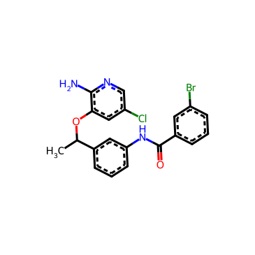 CC(Oc1cc(Cl)cnc1N)c1cccc(NC(=O)c2cccc(Br)c2)c1